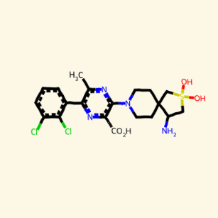 Cc1nc(N2CCC3(CC2)CS(O)(O)CC3N)c(C(=O)O)nc1-c1cccc(Cl)c1Cl